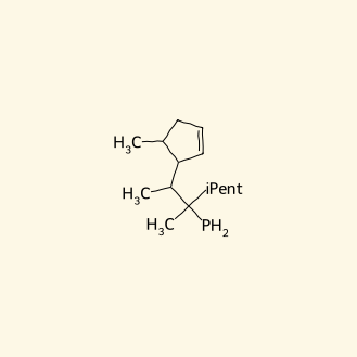 CCCC(C)C(C)(P)C(C)C1C=CCC1C